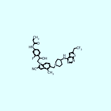 C=CC(=O)Nc1ccc(C(O)Cn2c(C#N)cc3c(C)c(CN4CCC(Nc5ncnc6sc(CC(F)(F)F)cc56)CC4)ccc32)c(F)c1